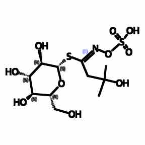 CC(C)(O)C/C(=N\OS(=O)(=O)O)S[C@@H]1O[C@H](CO)[C@@H](O)[C@H](O)[C@H]1O